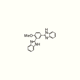 [CH2]Oc1ccc(-c2nc3ccccc3[nH]2)cc1-c1nc2ccccc2[nH]1